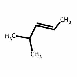 CC=CC(C)C